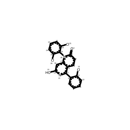 O=c1ccc2c(-c3ccccc3Cl)nc(O)cc2n1-c1c(Cl)cccc1Cl